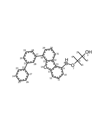 CC(C)(O)C(C)(C)OBc1cccc2oc3c(-c4cccc(-c5ccccc5)c4)cccc3c12